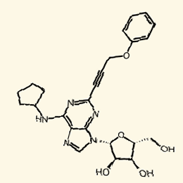 OC[C@H]1O[C@@H](n2cnc3c(NC4CCCC4)nc(C#CCOc4ccccc4)nc32)[C@H](O)[C@@H]1O